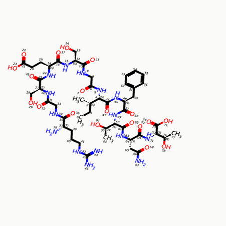 CC[C@H](C)[C@H](NC(=O)CNC(=O)[C@H](CO)NC(=O)[C@H](CCC(=O)O)NC(=O)[C@H](CO)NC(=O)CNC(=O)[C@@H](N)CCCNC(=N)N)C(=O)N[C@@H](Cc1ccccc1)C(=O)N[C@H](C(=O)N[C@@H](CC(N)=O)C(=O)N[C@H](C(=O)O)[C@@H](C)O)[C@@H](C)O